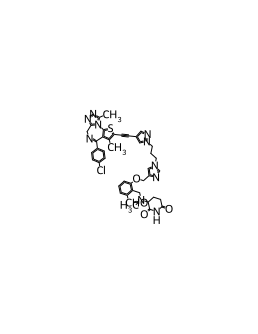 Cc1c(C#Cc2cnn(CCCn3cnc(COc4cccc(C=O)c4CN(C)C4CCC(=O)NC4=O)c3)c2)sc2c1C(c1ccc(Cl)cc1)=NCc1nnc(C)n1-2